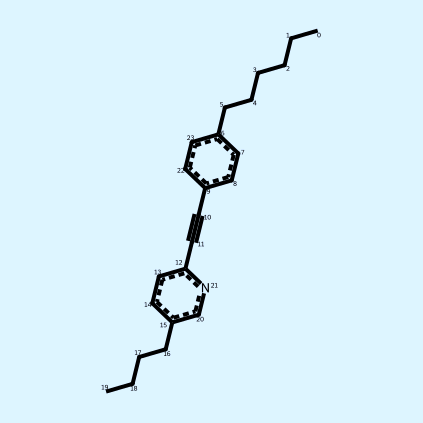 CCCCCCc1ccc(C#Cc2ccc(CCCC)cn2)cc1